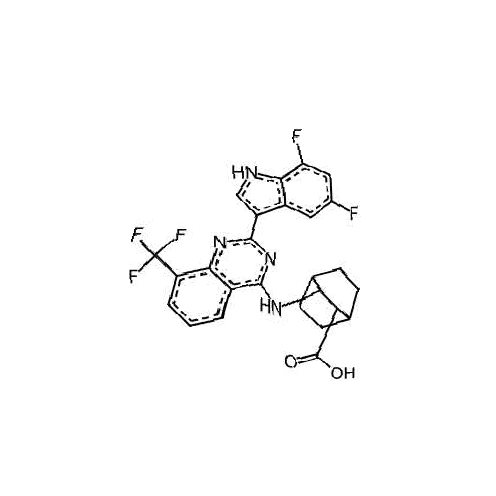 O=C(O)C1C2CCC(CC2)C1Nc1nc(-c2c[nH]c3c(F)cc(F)cc23)nc2c(C(F)(F)F)cccc12